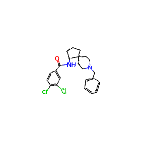 O=C(NC1CCCC12CCN(Cc1ccccc1)CC2)c1ccc(Cl)c(Cl)c1